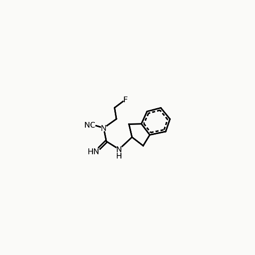 N#CN(CCF)C(=N)NC1Cc2ccccc2C1